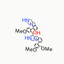 COCc1cc(OC)ccc1-c1cccc2c1N1CCNCC(C(O)c3cc(OC)ccc3-c3cccc4c3N3CCNCCC3C4)C1C2